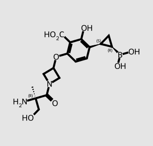 C[C@@](N)(CO)C(=O)N1CC(Oc2ccc([C@H]3C[C@H]3B(O)O)c(O)c2C(=O)O)C1